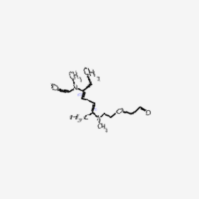 CC/C(=C\C=C(/C)N(C)CCOCC=O)N(C)C=O